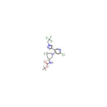 CC(C)(C)OC(=O)N[C@H]1C[C@H](F)CN(c2cc(Cl)ncc2-c2cnn(CC(F)(F)F)c2)C1